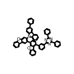 c1ccc(-c2ccc3c(c2)c2ccccc2n3-c2cc3oc4ccccc4c3cc2-c2ccc(-c3cccc(-c4nc(-c5ccccc5)nc(-c5ccccc5)n4)c3)c3c2oc2ccccc23)cc1